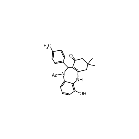 CC(=O)N1c2cccc(O)c2NC2=C(C(=O)CC(C)(C)C2)C1c1ccc(C(F)(F)F)cc1